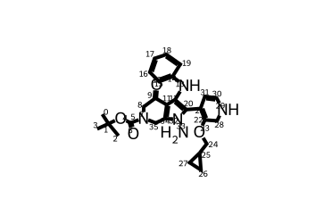 CC(C)(C)OC(=O)N1CC(=O)c2c(Nc3ccccc3)c(C3=C(OCC4CC4)CNC=C3)n(N)c2C1